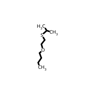 CCCCOCCSC(C)C